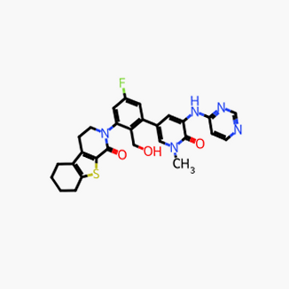 Cn1cc(-c2cc(F)cc(N3CCc4c(sc5c4CCCC5)C3=O)c2CO)cc(Nc2ccncn2)c1=O